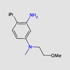 COCCN(C)c1ccc(C(C)C)c(N)c1